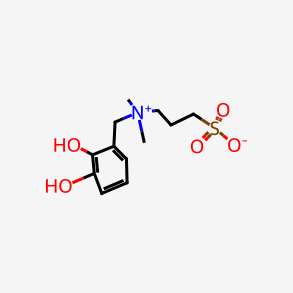 C[N+](C)(CCCS(=O)(=O)[O-])Cc1cccc(O)c1O